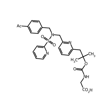 CC(=O)c1ccc(CN(Cc2cccc(CC(C)(C)OC(=O)NCC(=O)O)n2)S(=O)(=O)c2ccccn2)cc1